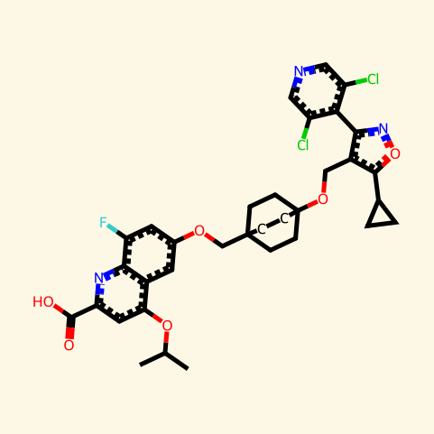 CC(C)Oc1cc(C(=O)O)nc2c(F)cc(OCC34CCC(OCc5c(-c6c(Cl)cncc6Cl)noc5C5CC5)(CC3)CC4)cc12